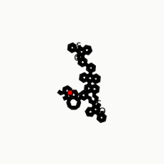 C=Cc1ccccc1C(=C)c1ccccccc(C2=CC(C/C=c3\c(=C/Cc4cccc5c(-c6c7ccccc7c(-c7cccc(C8C=c9c(oc%10c9c9ccccc9c9sc%11ccccc%11c%109)=CC8)c7)c7ccccc67)cccc45)sc4c5oc6ccccc6c5c5ccccc5c34)=CCC2)c2ccccc12